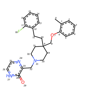 Cc1ccccc1OCC1(CCc2ccccc2F)CCN(Cc2ncc[nH]c2=O)CC1